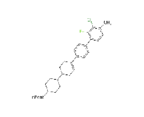 CCCCCC1CCC(C2CC=C(c3ccc(-c4ccc(C)c(Cl)c4F)cc3)CC2)CC1